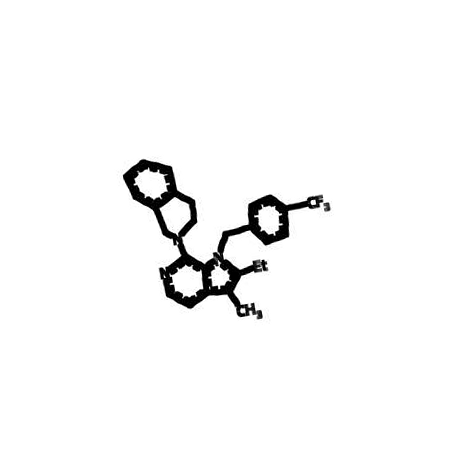 CCc1c(C)c2ccnc(N3CCc4ccccc4C3)c2n1Cc1ccc(C(F)(F)F)cc1